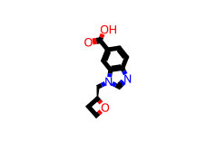 O=C(O)c1ccc2ncn(C[C@@H]3CCO3)c2c1